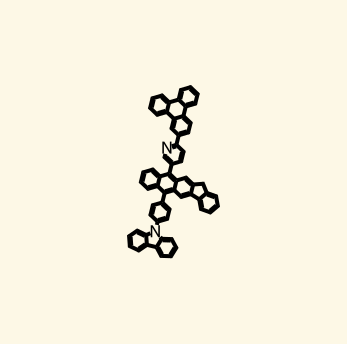 c1ccc2c(c1)Cc1cc3c(-c4ccc(-c5ccc6c7ccccc7c7ccccc7c6c5)nc4)c4ccccc4c(-c4ccc(-n5c6ccccc6c6ccccc65)cc4)c3cc1-2